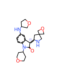 O=C1/C(=C2/CC3(CN2)COC3)c2cc(NC3CCOC3)ccc2N1C1CCOCC1